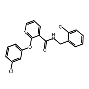 O=C(NCc1ccccc1Cl)c1cccnc1Oc1cccc(Cl)c1